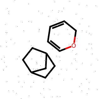 C1=CCOC=C1.C1CC2CCC1C2